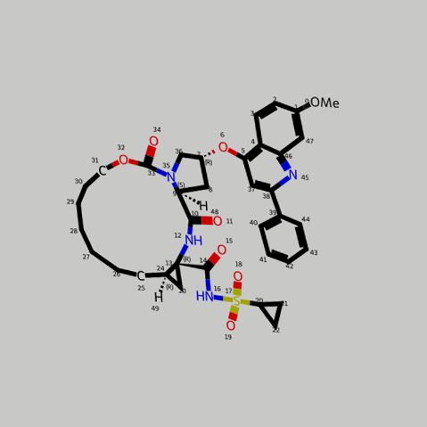 COc1ccc2c(O[C@@H]3C[C@H]4C(=O)N[C@]5(C(=O)NS(=O)(=O)C6CC6)C[C@H]5CCCCCCCOC(=O)N4C3)cc(-c3ccccc3)nc2c1